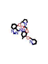 COCC(=O)N1CCC[C@@H]1COc1cccc2ncnc(Nc3ccc(OCc4ccccn4)c(C)c3)c12